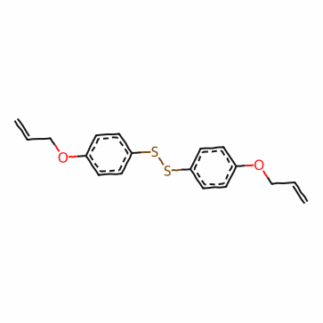 C=CCOc1ccc(SSc2ccc(OCC=C)cc2)cc1